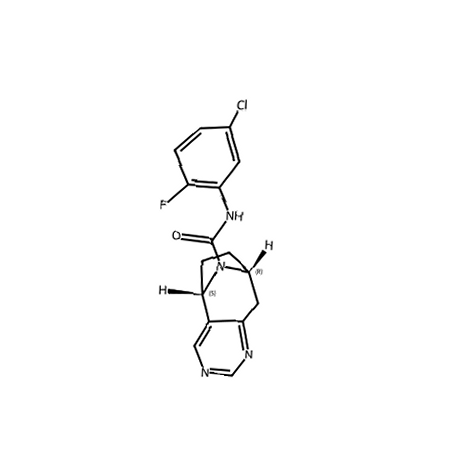 O=C(Nc1cc(Cl)ccc1F)N1[C@@H]2CC[C@H]1c1cncnc1C2